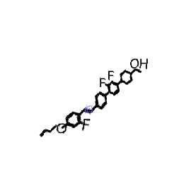 C=CCCOc1ccc(/C=C/c2ccc(-c3ccc(C4CCC(C(C)O)CC4)c(F)c3F)cc2)c(F)c1